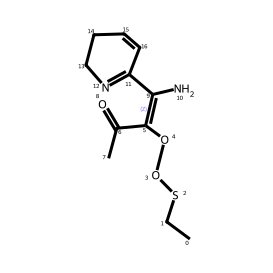 CCSOO/C(C(C)=O)=C(\N)C1=NCCC=C1